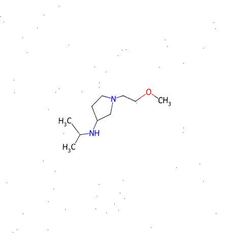 COCCN1CCC(NC(C)C)C1